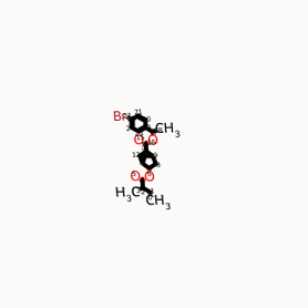 CCC(C)C(=O)OC1CC2CC1CC2C(=O)OC(C)c1ccc(Br)cc1